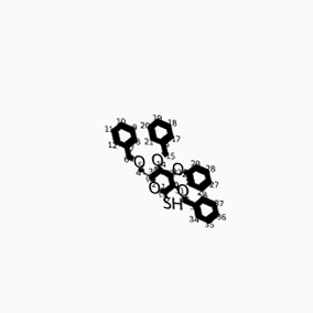 S[C@@H]1O[C@H](COCc2ccccc2)[C@@H](OCc2ccccc2)[C@H](Oc2ccccc2)[C@H]1OCc1ccccc1